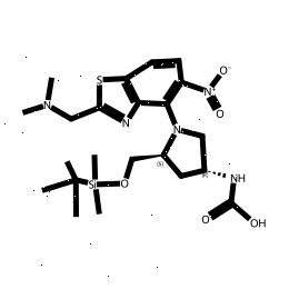 CN(C)Cc1nc2c(N3C[C@H](NC(=O)O)C[C@H]3CO[Si](C)(C)C(C)(C)C)c([N+](=O)[O-])ccc2s1